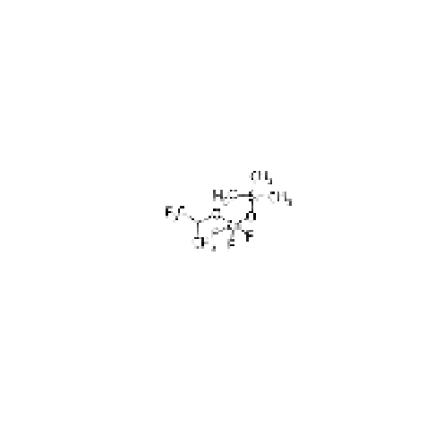 CC([O][Zn]([F])([F])([F])[O][Si](C)(C)C)C(F)(F)F